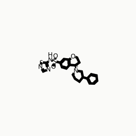 O=S(=O)(Nc1ncns1)c1ccc2c(c1)OCC[C@H]2N1CCCC(c2ccccc2)C1